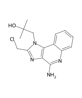 CC(C)(O)Cn1c(CCl)nc2c(N)nc3ccccc3c21